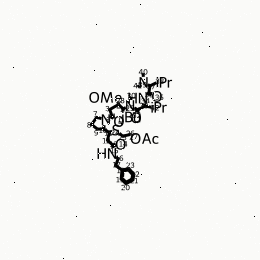 CCC(C)C(C(CC(=O)N1CCCC1C(CC(=O)NCCc1ccccc1)SCCOC(C)=O)OC)N(C)C(=O)C(NC(=O)C(C(C)C)N(C)C)C(C)C